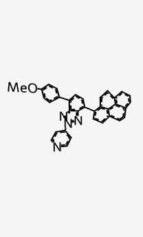 COc1ccc(-c2ccc(-c3ccc4ccc5cccc6ccc3c4c56)c3nn(-c4ccncc4)nc23)cc1